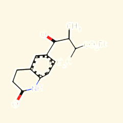 CCOC(=O)C(C(=O)OCC)C(C)C(=O)c1ccc2c(c1)CCC(=O)N2